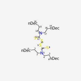 CCCCCCCCCCCCN(CCCCCCCCCCCC)C(=S)SSC(=S)N(CCCCCCCCCCCC)CCCCCCCCCCCC